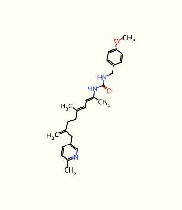 C=C(CC/C(C)=C/C=C(\C)NC(=O)NCc1ccc(OC)cc1)Cc1ccc(C)nc1